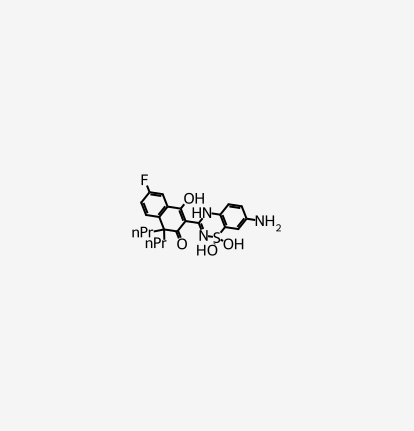 CCCC1(CCC)C(=O)C(C2=NS(O)(O)c3cc(N)ccc3N2)=C(O)c2cc(F)ccc21